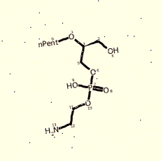 CCCCCO[C@@H](CO)COP(=O)(O)OCCN